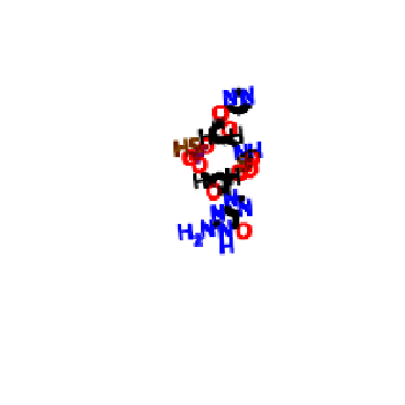 Nc1nc2c(ncn2[C@@H]2O[C@@H]3COP(=O)(S)O[C@H]4C[C@H](Oc5ccncn5)O[C@@H]4CNS(=O)(=O)O[C@@H]2C3)c(=O)[nH]1